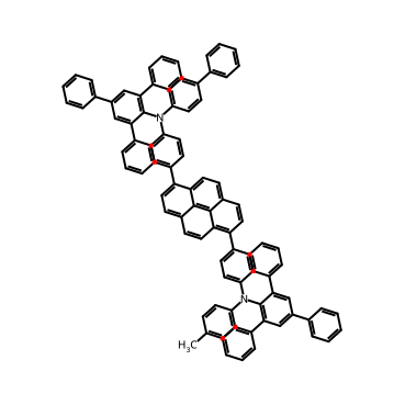 Cc1ccc(N(c2ccc(-c3ccc4ccc5c(-c6ccc(N(c7ccc(-c8ccccc8)cc7)c7c(-c8ccccc8)cc(-c8ccccc8)cc7-c7ccccc7)cc6)ccc6ccc3c4c65)cc2)c2c(-c3ccccc3)cc(-c3ccccc3)cc2-c2ccccc2)cc1